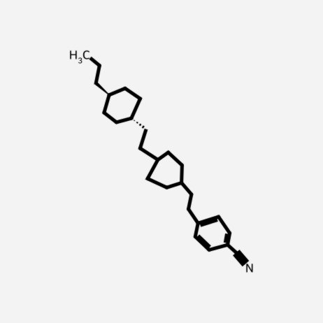 CCC[C@H]1CC[C@H](CCC2CCC(CCc3ccc(C#N)cc3)CC2)CC1